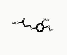 CCCOc1ccc(OCCC(=O)OC)cc1OC